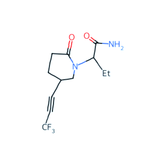 CCC(C(N)=O)N1CC(C#CC(F)(F)F)CCC1=O